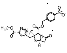 COC(=O)c1cn(C[C@]2(C)S[C@@H]3CC(=O)N3[C@H]2C(=O)OCc2ccc([N+](=O)[O-])cc2)nn1